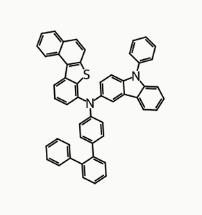 c1ccc(-c2ccccc2-c2ccc(N(c3ccc4c(c3)c3ccccc3n4-c3ccccc3)c3cccc4c3sc3ccc5ccccc5c34)cc2)cc1